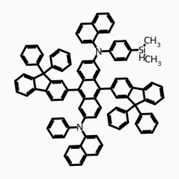 C[SiH](C)c1ccc(N(c2ccc3c(-c4ccc5c(c4)C(c4ccccc4)(c4ccccc4)c4ccccc4-5)c4cc(N(c5ccccc5)c5cccc6ccccc56)ccc4c(-c4ccc5c(c4)C(c4ccccc4)(c4ccccc4)c4ccccc4-5)c3c2)c2cccc3ccccc23)cc1